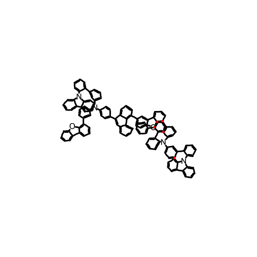 c1ccc(-c2ccccc2-c2ccccc2N(c2cccc(-c3ccccc3-n3c4ccccc4c4ccccc43)c2)c2cccc(-c3cccc4c3oc3ccc(-c5cccc6c(-c7ccc(N(c8cccc(-c9ccccc9-n9c%10ccccc%10c%10ccccc%109)c8)c8cccc(-c9cccc%10c9oc9ccccc9%10)c8)cc7)cc7ccccc7c56)cc34)c2)cc1